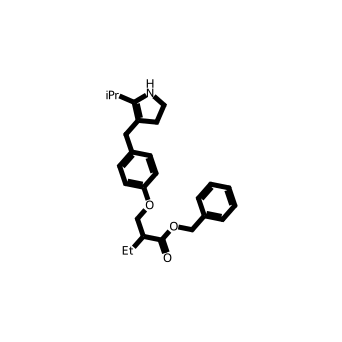 CCC(COc1ccc(CC2=C(C(C)C)NCC2)cc1)C(=O)OCc1ccccc1